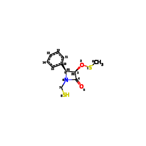 CSO[C@H]1C(=O)N(CS)[C@H]1c1ccccc1